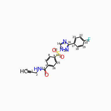 C#CCNC(=O)c1ccc(S(=O)(=O)n2cnc(-c3ccc(F)cc3)n2)cc1